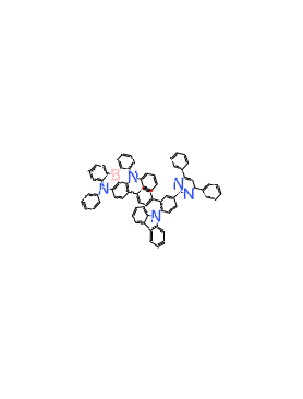 c1ccc(-c2cc(-c3ccccc3)nc(-c3ccc(-n4c5ccccc5c5ccccc54)c(-c4ccc(-c5ccc6c7c5N(c5ccccc5)c5ccccc5B7c5ccccc5N6c5ccccc5)cc4)c3)n2)cc1